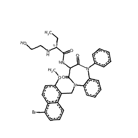 CC[C@H](NCCO)C(=O)NC1C(=O)N(Cc2c(OC)ccc3c(Br)cccc23)c2ccccc2N(c2ccccc2)C1=O